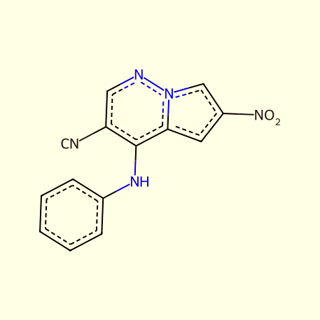 [C-]#[N+]c1cnn2cc([N+](=O)[O-])cc2c1Nc1ccccc1